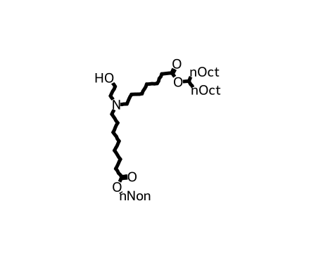 CCCCCCCCCOC(=O)CCCCCCCN(CCO)CCCCCCC(=O)OC(CCCCCCCC)CCCCCCCC